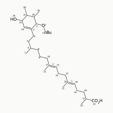 CCCCOC1C(CCC(C)CCC/C(C)=C/CC/C(C)=C/CCC(C)C(=O)O)=CC(O)C(C)C1C